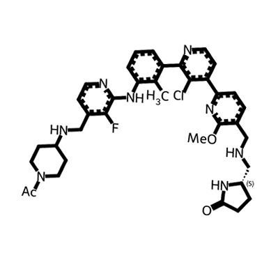 COc1nc(-c2ccnc(-c3cccc(Nc4nccc(CNC5CCN(C(C)=O)CC5)c4F)c3C)c2Cl)ccc1CNC[C@@H]1CCC(=O)N1